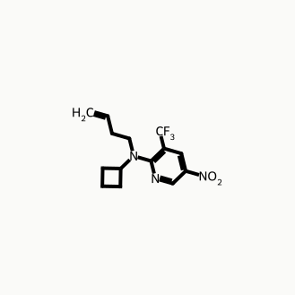 C=CCCN(c1ncc([N+](=O)[O-])cc1C(F)(F)F)C1CCC1